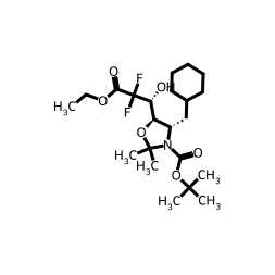 CCOC(=O)C(F)(F)[C@H](O)[C@@H]1OC(C)(C)N(C(=O)OC(C)(C)C)[C@H]1CC1CCCCC1